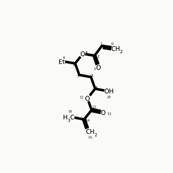 C=CC(=O)OC(CC)CCC(O)OC(=O)C(=C)C